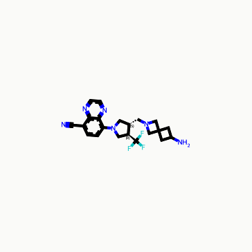 N#Cc1ccc(N2C[C@H](CN3CC4(CC(N)C4)C3)[C@@H](C(F)(F)F)C2)c2nccnc12